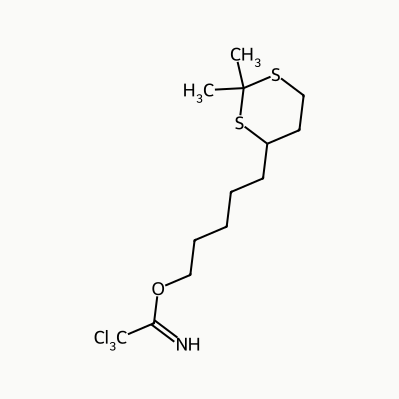 CC1(C)SCCC(CCCCCOC(=N)C(Cl)(Cl)Cl)S1